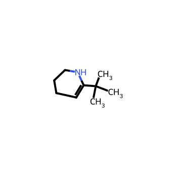 CC(C)(C)C1=CCCCN1